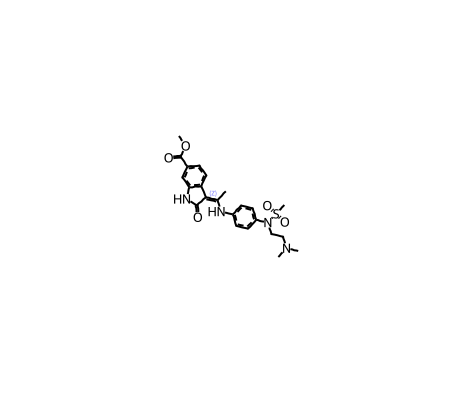 COC(=O)c1ccc2c(c1)NC(=O)/C2=C(/C)Nc1ccc(N(CCN(C)C)S(C)(=O)=O)cc1